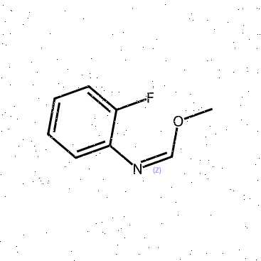 CO/C=N\c1ccccc1F